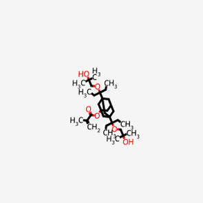 C=C(C)C(=O)OC12CC3CC(C(CC)(CC)OCC(C)(C)O)(C1)CC(C(CC)(CC)OCC(C)(C)O)(C3)C2